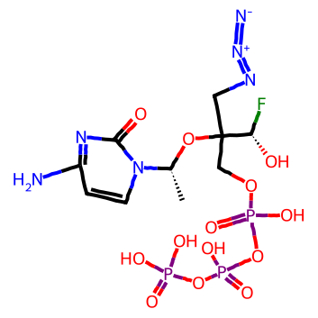 C[C@@H](OC(CN=[N+]=[N-])(COP(=O)(O)OP(=O)(O)OP(=O)(O)O)[C@@H](O)F)n1ccc(N)nc1=O